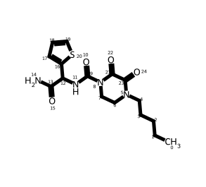 CCCCCN1CCN(C(=O)NC(C(N)=O)c2cccs2)C(=O)C1=O